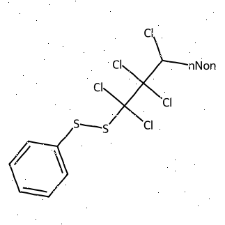 CCCCCCCCCC(Cl)C(Cl)(Cl)C(Cl)(Cl)SSc1ccccc1